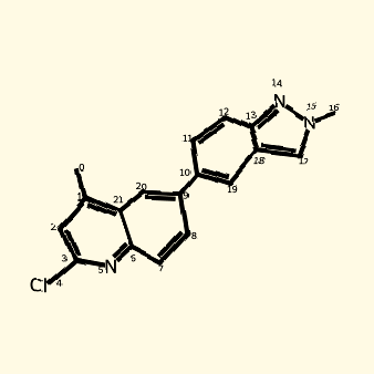 Cc1cc(Cl)nc2ccc(-c3ccc4nn(C)cc4c3)cc12